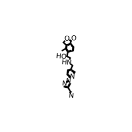 Cc1c([C@@H](O)CNCc2ccc(-n3cc(C#N)cn3)nc2)ccc2c1COC2=O